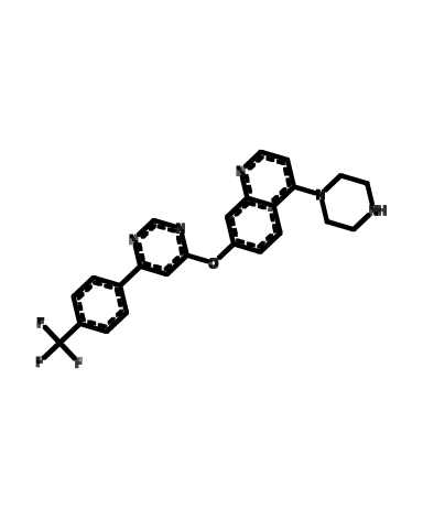 FC(F)(F)c1ccc(-c2cc(Oc3ccc4c(N5CCNCC5)ccnc4c3)ncn2)cc1